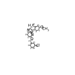 COc1ccc(-c2cnc3ccc(OCc4cccc(Cl)c4)nn23)c(C)c1